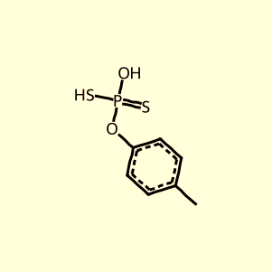 Cc1ccc(OP(O)(=S)S)cc1